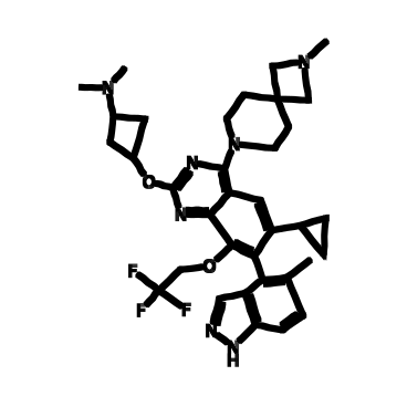 Cc1ccc2[nH]ncc2c1-c1c(C2CC2)cc2c(N3CCC4(CC3)CN(C)C4)nc(OC3CC(N(C)C)C3)nc2c1OCC(F)(F)F